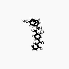 CCc1cc(C(=O)c2ncccc2C)ccc1C(=O)NC1C2CC3CC1CC(O)(C3)C2